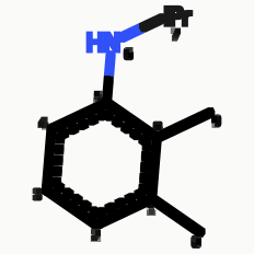 Cc1cccc(NC(C)C)c1C